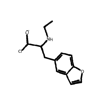 CCNC(Cc1ccc2occc2c1)C(Cl)Cl